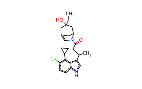 CCC1(O)CC2=CN(C(=O)CC(C)c3c[nH]c4ccc(Cl)c(C5CC5)c34)C(C2)C1